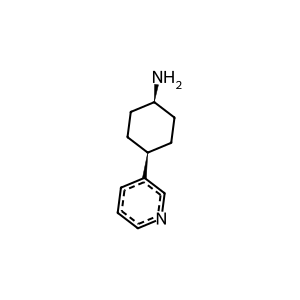 N[C@H]1CC[C@@H](c2cccnc2)CC1